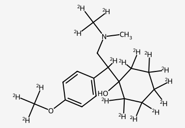 [2H]C([2H])([2H])Oc1ccc(C([2H])(CN(C)C([2H])([2H])[2H])C2(O)C([2H])([2H])C([2H])([2H])C([2H])([2H])C([2H])([2H])C2([2H])[2H])cc1